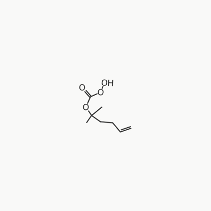 C=CCCC(C)(C)OC(=O)OO